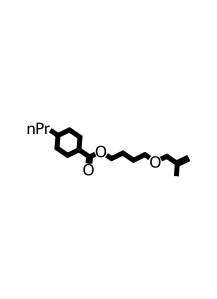 C=C(C)COCCCCOC(=O)C1CCC(CCC)CC1